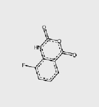 O=c1[nH]c2c(F)cccc2c(=O)o1